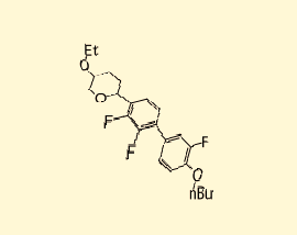 CCCCOc1ccc(-c2ccc(C3CCC(OCC)CO3)c(F)c2F)cc1F